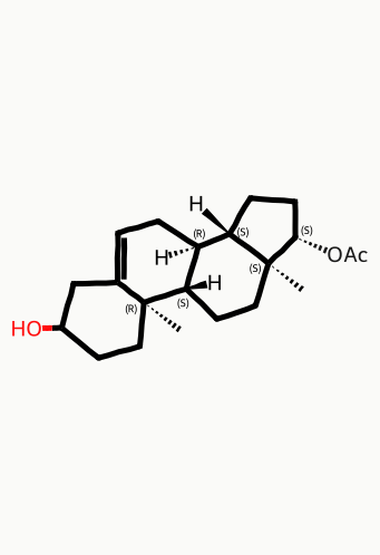 CC(=O)O[C@H]1CC[C@H]2[C@@H]3CC=C4CC(O)CC[C@]4(C)[C@H]3CC[C@]12C